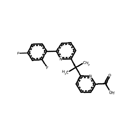 CC(C)(c1cccc(C(=O)O)n1)c1cccc(-c2ccc(F)cc2F)n1